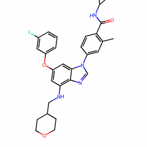 Cc1cc(-n2cnc3c(NCC4CCOCC4)cc(Oc4cccc(F)c4)cc32)ccc1C(=O)NC1CC1